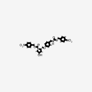 O=C(NCc1ccc(OC[C@@H]2C[C@@H](O)CN2C(=O)OCc2ccc([N+](=O)[O-])cc2)cc1)OCc1ccc([N+](=O)[O-])cc1